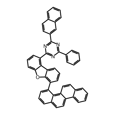 c1ccc(-c2nc(-c3ccc4ccccc4c3)nc(-c3cccc4oc5c(-c6cccc7ccc8c9ccccc9ccc8c67)cccc5c34)n2)cc1